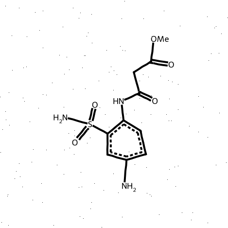 COC(=O)CC(=O)Nc1ccc(N)cc1S(N)(=O)=O